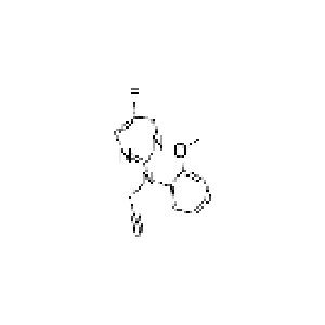 C#CCN(c1ncc(F)cn1)c1ccccc1OC